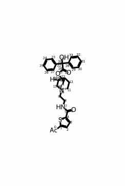 CC(=O)c1ccc(C(=O)NCC[N+]23CCC(CC2)[C@@H](OC(=O)C(O)(c2ccccc2)c2ccccc2)C3)s1